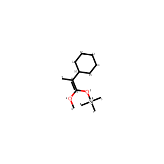 CO/C(O[Si](C)(C)C)=C(\C)C1CCCCC1